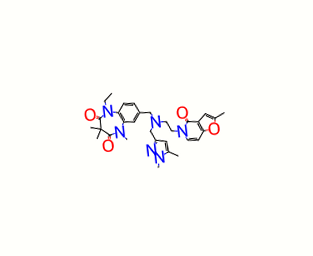 CCN1C(=O)C(C)(C)C(=O)N(C)c2cc(CN(CCn3ccc4oc(C)cc4c3=O)Cc3cc(C)n(C)n3)ccc21